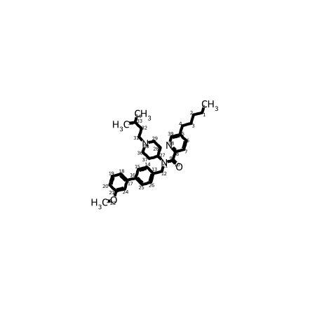 CCCCCc1ccc(C(=O)N(Cc2ccc(-c3cccc(OC)c3)cc2)C2CCN(CCC(C)C)CC2)nc1